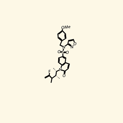 C=C(F)C(C)[C@@H](C)[C@H](C)n1c(=O)ccc2cc(S(=O)(=O)N(Cc3ccc(OC)cc3)c3ccon3)ccc21